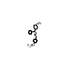 CCCC1CCC(C(=NN=Cc2ccc(OC(F)(F)F)cc2)c2ccccc2)CC1